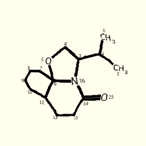 CC(C)C1COC23CCCCC2CCC(=O)N13